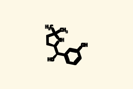 CC1(C)CC[C@H]([C@@H](O)c2cccc(O)c2)N1